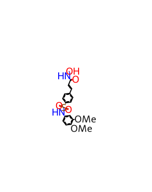 COc1ccc(NS(=O)(=O)c2ccc(/C=C/C(=O)NO)cc2)cc1OC